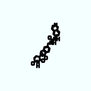 O=C1CCC(N2Cc3cc(CNC(=O)Nc4ccc5cnccc5c4)ccc3C2=O)C(=O)N1